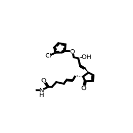 CNC(=O)CCCC=CC[C@H]1C(=O)C=C[C@@H]1C=C[C@@H](O)COc1cccc(Cl)c1